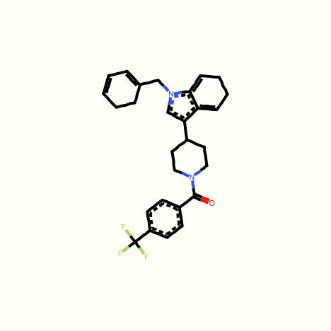 O=C(c1ccc(C(F)(F)F)cc1)N1CCC(c2cn(CC3=CC=CCC3)c3c2=CCCC=3)CC1